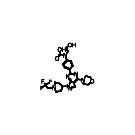 O=C(O)N(CCO)c1ccc(-c2nc(N3CCOCC3)c3cnn(C4CCN(CC(F)(F)F)CC4)c3n2)cc1